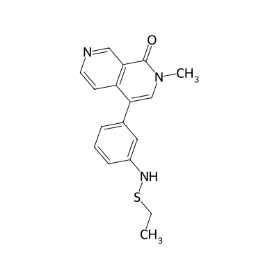 CCSNc1cccc(-c2cn(C)c(=O)c3cnccc23)c1